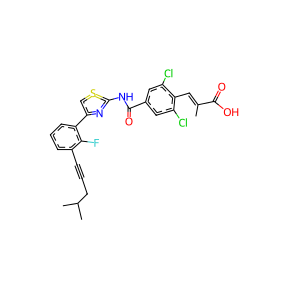 C/C(=C\c1c(Cl)cc(C(=O)Nc2nc(-c3cccc(C#CCC(C)C)c3F)cs2)cc1Cl)C(=O)O